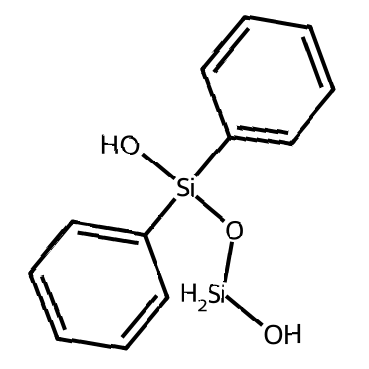 O[SiH2]O[Si](O)(c1ccccc1)c1ccccc1